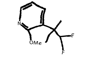 COc1ncccc1C(C)(C)C(F)F